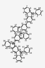 c1ccc(-n2c3ccccc3c3cc(-c4ccc([Si](c5ccccc5)(c5ccccc5)c5ccc(-n6c7ccccc7c7cc8c9ccccc9n(-c9ccccc9)c8cc76)cc5)cc4)ccc32)cc1